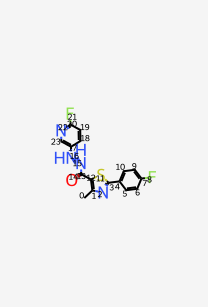 Cc1nc(-c2ccc(F)cc2)sc1C(=O)NNc1ccc(F)nc1